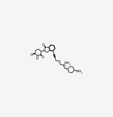 NC1CCN(C[C@H](N)COCC#Cc2cccc3c2CN(C2CCC(=O)NC2=O)C3=O)CC1